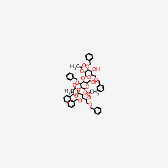 COOC(COCc1ccccc1)[C@@H](OCc1ccccc1)C(O[C@H]1OC(CO)[C@@H](O[C@H]2OC(COCc3ccccc3)[C@@H](O)C(OCc3ccccc3)C2OC(C)=O)C(OCc2ccccc2)C1OC(C)=O)[C@@H](C)OCc1ccccc1